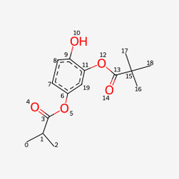 CC(C)C(=O)Oc1ccc(O)c(OC(=O)C(C)(C)C)c1